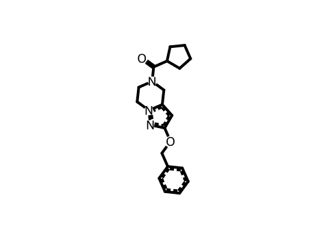 O=C(C1CCCC1)N1CCn2nc(OCc3ccccc3)cc2C1